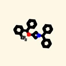 FC(F)(F)c1ccccc1C(OC1CN(C(c2ccccc2)c2ccccc2)C1)c1ccccc1